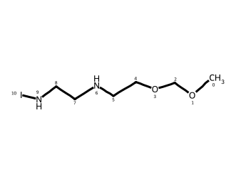 COCOCCNCCNI